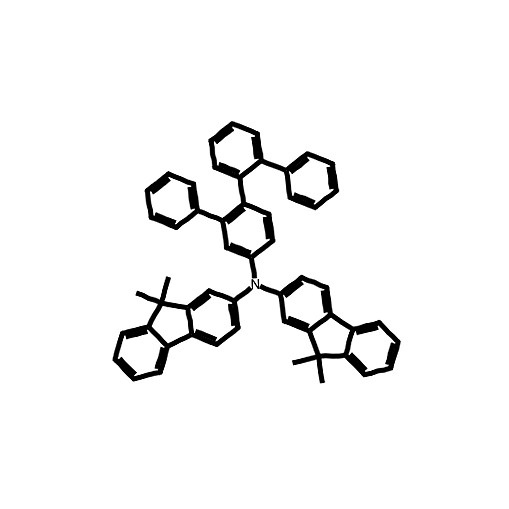 CC1(C)c2ccccc2-c2ccc(N(c3ccc(-c4ccccc4-c4ccccc4)c(-c4ccccc4)c3)c3ccc4c(c3)C(C)(C)c3ccccc3-4)cc21